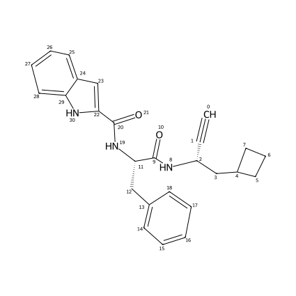 C#C[C@H](CC1CCC1)NC(=O)[C@H](Cc1ccccc1)NC(=O)c1cc2ccccc2[nH]1